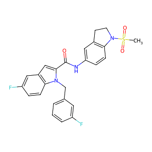 CS(=O)(=O)N1CCc2cc(NC(=O)c3cc4cc(F)ccc4n3Cc3cccc(F)c3)ccc21